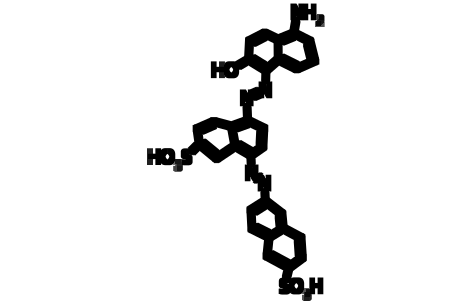 Nc1cccc2c(/N=N/c3ccc(/N=N/c4ccc5cc(S(=O)(=O)O)ccc5c4)c4cc(S(=O)(=O)O)ccc34)c(O)ccc12